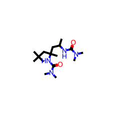 CC(CC(C)(CC(C)(C)C)NC(=O)N(C)C)NC(=O)N(C)C